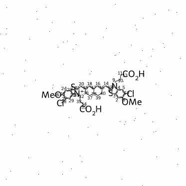 COc1cc2c(cc1Cl)N(CCCC(=O)O)/C(=C/C1=CC3=C/C(=C/c4sc5cc(OC)c(Cl)cc5[n+]4CCCC(=O)O)CCC3CC1)S2